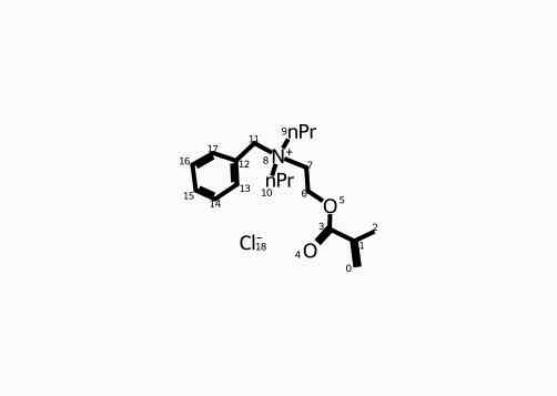 C=C(C)C(=O)OCC[N+](CCC)(CCC)Cc1ccccc1.[Cl-]